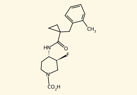 Cc1ccccc1CC1(C(=O)N[C@H]2CCN(C(=O)O)C[C@@H]2F)CC1